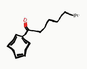 C[C](C)CCCCC(=O)c1ccccc1